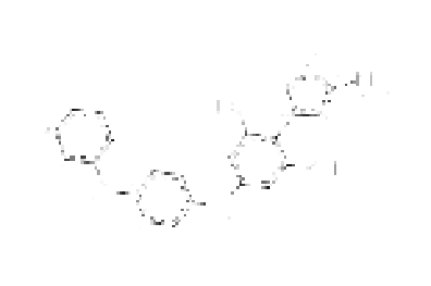 Cc1cc(Oc2ccc(Oc3ccccc3)cc2)cc(C)c1-c1csc(N)n1